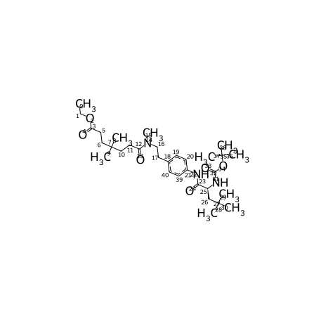 CCOC(=O)CCC(C)(C)CCC(=O)N(C)CCc1ccc(NC(=O)[C@H](CC(C)(C)C)NC(=O)OC(C)(C)C)cc1